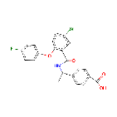 CC(NC(=O)c1cc(Br)ccc1Oc1ccc(F)cc1)c1ccc(C(=O)O)cc1